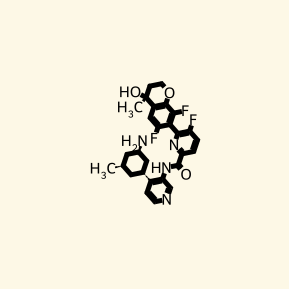 C[C@@H]1C[C@@H](N)C[C@H](c2ccncc2NC(=O)c2ccc(F)c(-c3c(F)cc4c(c3F)OCC[C@@]4(C)O)n2)C1